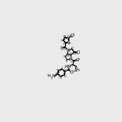 CC(C)CC(NC(=O)c1ccc(N)cc1)C(=O)N1CCC2C1C(=O)CN2C(=O)c1ccc(Cl)s1